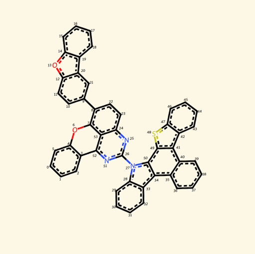 c1ccc2c(c1)Oc1c(-c3ccc4oc5ccccc5c4c3)ccc3nc(-n4c5ccccc5c5c6ccccc6c6c7ccccc7sc6c54)nc-2c13